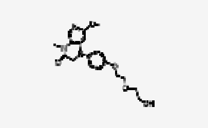 COc1cc2c(cn1)N(C)C(=O)CN2c1ccc(OCCOCCO)cc1